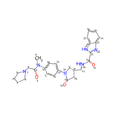 CN(C(=O)CN1CCCC1)c1ccc(N2CC(CNC(=O)c3nc4ccccc4[nH]3)CC2=O)cc1